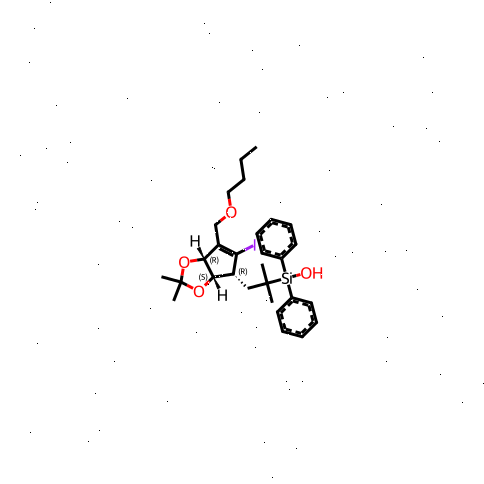 CCCCOCC1=C(I)[C@H](CC(C)(C)[Si](O)(c2ccccc2)c2ccccc2)[C@@H]2OC(C)(C)O[C@H]12